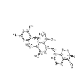 Cn1c(Nc2ccc(I)cc2F)c(C(N)=O)c(Oc2cccc3c2CCNC3=O)cc1=O